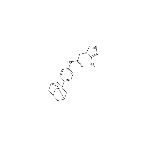 Nc1nncn1CC(=O)Nc1ccc(C23CC4CC(CC(C4)C2)C3)cc1